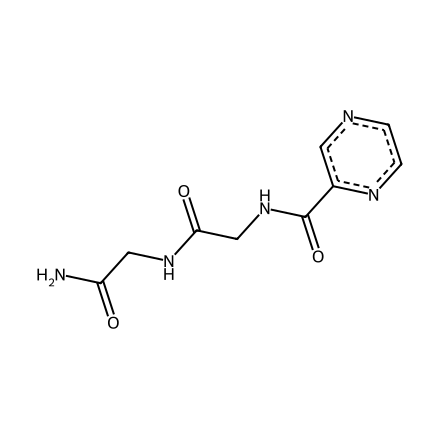 NC(=O)CNC(=O)CNC(=O)c1cnccn1